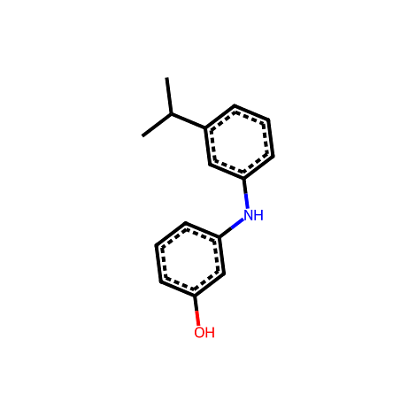 CC(C)c1cccc(Nc2cccc(O)c2)c1